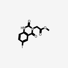 COC(=O)Cn1c(=O)[nH]c2ccc(I)cc2c1=O